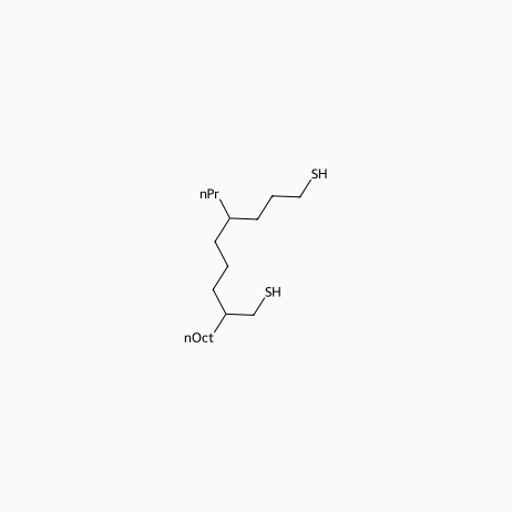 CCCCCCCCC(CS)CCCC(CCC)CCCS